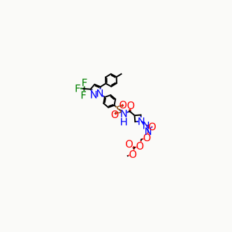 COC(=O)OCOn1on1N1CC(C(=O)NS(=O)(=O)c2ccc(-n3nc(C(F)(F)F)cc3-c3ccc(C)cc3)cc2)C1